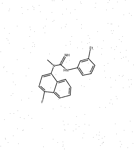 CCc1cccc(NC(=N)N(C)c2ccc(F)c3ccccc23)c1